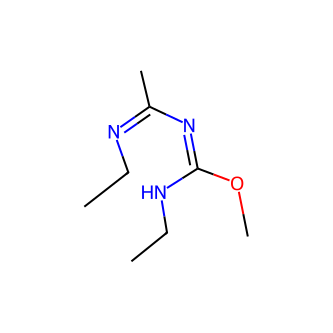 CC/N=C(C)\N=C(/NCC)OC